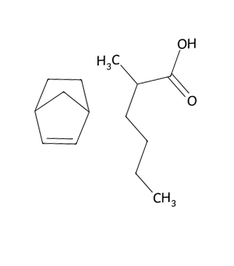 C1=CC2CCC1C2.CCCCC(C)C(=O)O